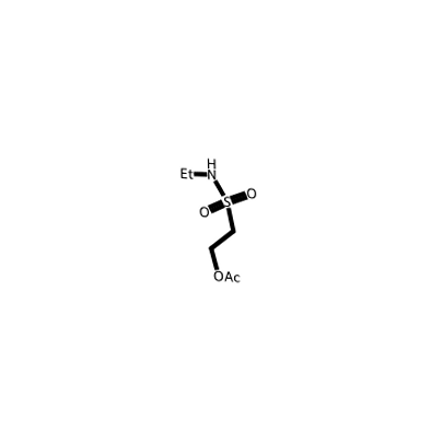 CCNS(=O)(=O)CCOC(C)=O